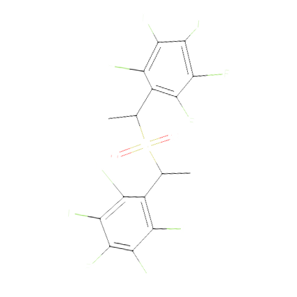 CC(c1c(F)c(F)c(F)c(F)c1F)S(=O)(=O)C(C)c1c(F)c(F)c(F)c(F)c1F